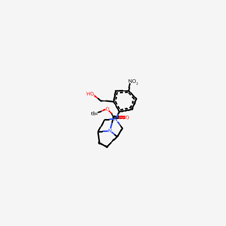 CC(C)(C)OC(=O)N1C2CCC1CN(c1ccc([N+](=O)[O-])cc1CO)C2